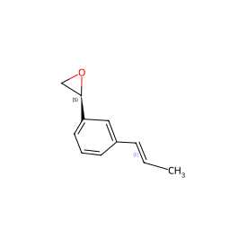 C/C=C/c1cccc([C@H]2CO2)c1